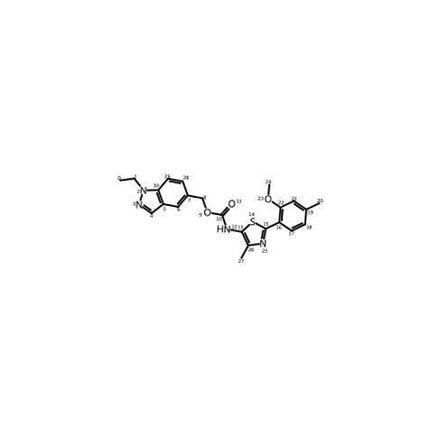 CCn1ncc2cc(COC(=O)Nc3sc(-c4ccc(C)cc4OC)nc3C)ccc21